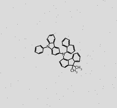 CC1(C)c2ccccc2-c2c(N(c3ccc4c(c3)c3ccccc3n4-c3ccccc3)c3cccc4ccccc34)cccc21